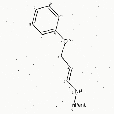 CCCCCNC=CCOc1ccccc1